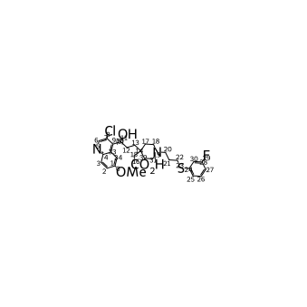 COc1ccc2ncc(Cl)c([C@@H](O)CCC3(CC(=O)O)CCN(CCCSc4cccc(F)c4)CC3)c2c1